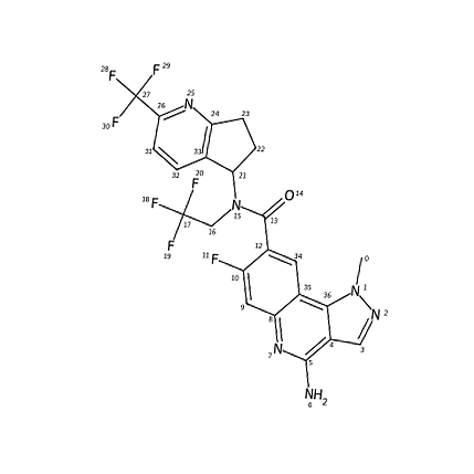 Cn1ncc2c(N)nc3cc(F)c(C(=O)N(CC(F)(F)F)C4CCc5nc(C(F)(F)F)ccc54)cc3c21